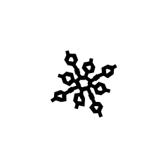 Cc1ccc(C#CC2=C(c3ccc(C)cc3)/C(C#Cc3ccc(C)cc3)=C(c3ccc(C)cc3)\C(C#Cc3ccc(C)cc3)=C(c3ccc(C)cc3)/C(C#Cc3ccc(C)cc3)=C\2c2ccc(C)cc2)cc1